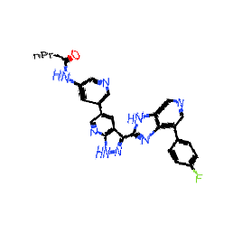 CCCC(=O)Nc1cncc(-c2cnc3[nH]nc(-c4nc5c(-c6ccc(F)cc6)cncc5[nH]4)c3c2)c1